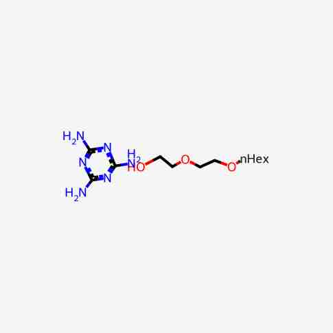 CCCCCCOCCOCCO.Nc1nc(N)nc(N)n1